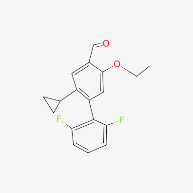 CCOc1cc(-c2c(F)cccc2F)c(C2CC2)cc1C=O